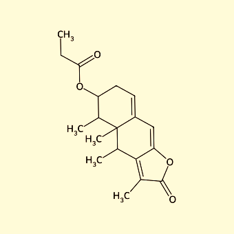 CCC(=O)OC1CC=C2C=C3OC(=O)C(C)=C3C(C)C2(C)C1C